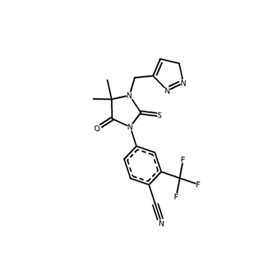 CC1(C)C(=O)N(c2ccc(C#N)c(C(F)(F)F)c2)C(=S)N1CC1=CCN=N1